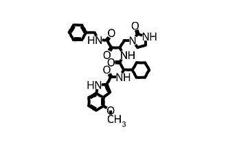 COc1cccc2[nH]c(C(=O)NC(C(=O)NC(CN3CCNC3=O)C(=O)C(=O)NCc3ccccc3)C3CCCCC3)cc12